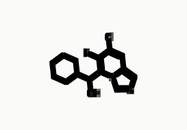 OC(c1c(F)c(Cl)cc2cncn12)C1CCCCC1